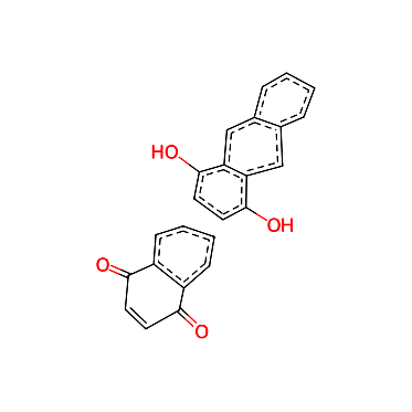 O=C1C=CC(=O)c2ccccc21.Oc1ccc(O)c2cc3ccccc3cc12